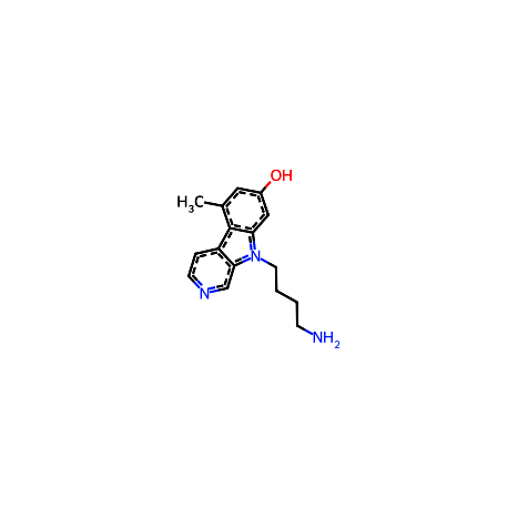 Cc1cc(O)cc2c1c1ccncc1n2CCCCN